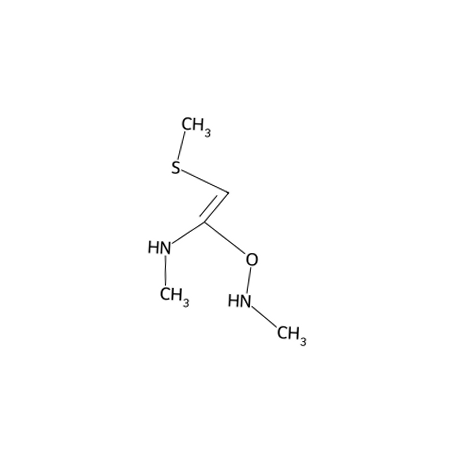 CNO/C(=C/SC)NC